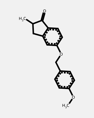 COc1ccc(COc2ccc3c(c2)CC(C)C3=O)cc1